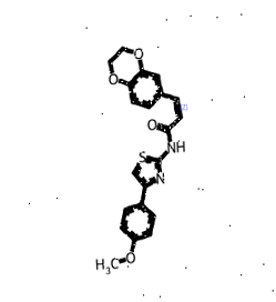 COc1ccc(-c2csc(NC(=O)/C=C\c3ccc4c(c3)OCCO4)n2)cc1